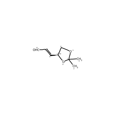 CC1(C)OC[C@H](C=CC=O)O1